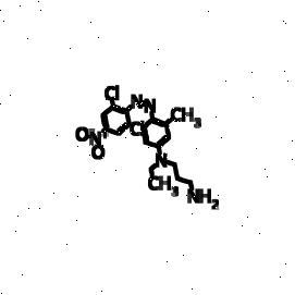 CCN(CCCN)c1ccc(/N=N\c2c(Cl)cc([N+](=O)[O-])cc2Cl)c(C)c1